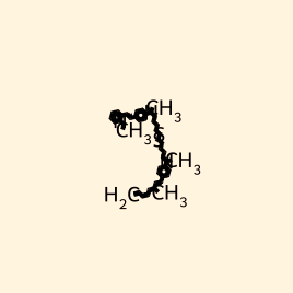 C=C\C=C/C=C(C)/C=C/c1ccc(N(C)CCCCSSCCCCN(C)c2ccc(/C=C/c3cccc[n+]3CC)cc2)cc1